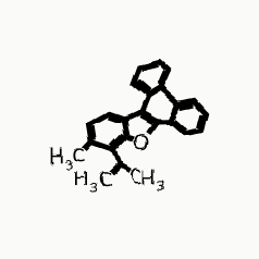 Cc1ccc2c(oc3c4ccccc4c4ccccc4c23)c1C(C)C